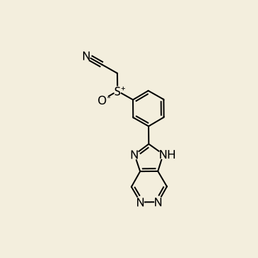 N#CC[S+]([O-])c1cccc(-c2nc3cnncc3[nH]2)c1